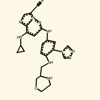 N#Cc1cnc2c(NC3CC3)cc(Nc3ccc(NCC4COCCN4)c(-n4cnnc4)c3)nn12